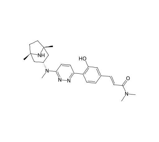 CN(C)C(=O)/C=C/c1ccc(-c2ccc(N(C)[C@@H]3C[C@]4(C)CC[C@](C)(C3)N4)nn2)c(O)c1